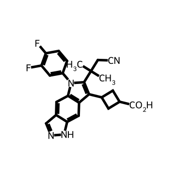 CC(C)(CC#N)c1c(C2CC(C(=O)O)C2)c2cc3[nH]ncc3cc2n1-c1ccc(F)c(F)c1